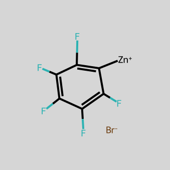 Fc1c(F)c(F)[c]([Zn+])c(F)c1F.[Br-]